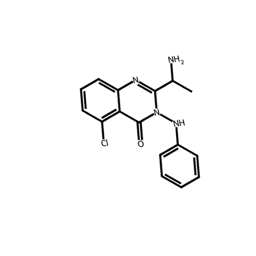 CC(N)c1nc2cccc(Cl)c2c(=O)n1Nc1ccccc1